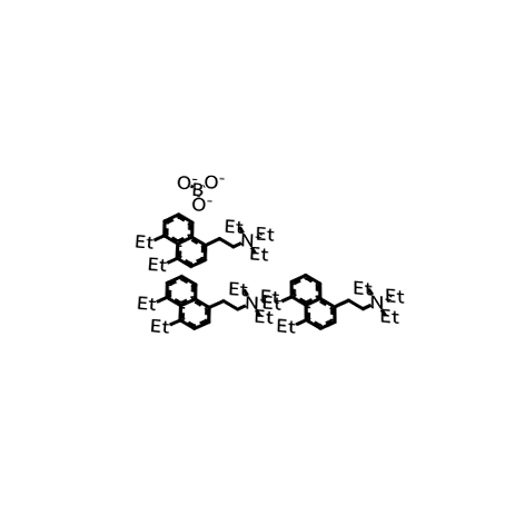 CCc1cccc2c(CC[N+](CC)(CC)CC)ccc(CC)c12.CCc1cccc2c(CC[N+](CC)(CC)CC)ccc(CC)c12.CCc1cccc2c(CC[N+](CC)(CC)CC)ccc(CC)c12.[O-]B([O-])[O-]